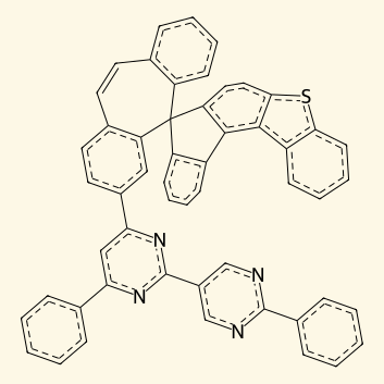 C1=Cc2ccc(-c3cc(-c4ccccc4)nc(-c4cnc(-c5ccccc5)nc4)n3)cc2C2(c3ccccc31)c1ccccc1-c1c2ccc2sc3ccccc3c12